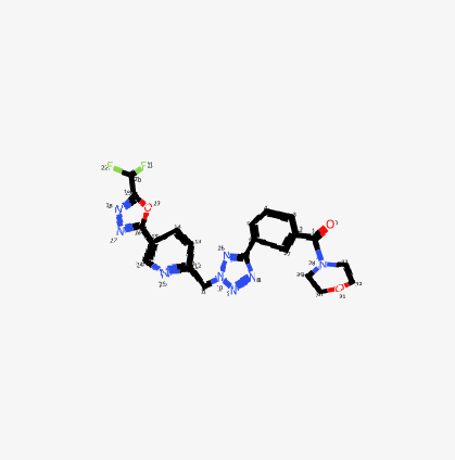 O=C(c1cccc(-c2nnn(Cc3ccc(-c4nnc(C(F)F)o4)cn3)n2)c1)N1CCOCC1